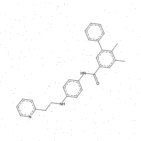 Cc1cc(C(=O)Nc2ccc(NCCc3ccccn3)cc2)cc(-c2ccccc2)c1C